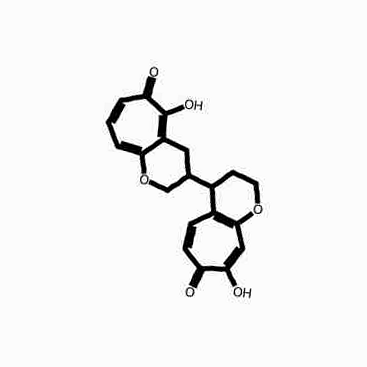 O=c1ccc2c(cc1O)OCCC2C1COc2cccc(=O)c(O)c2C1